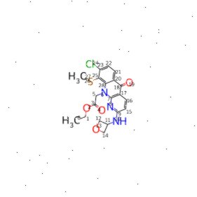 CCOC(=O)Cn1c2nc(NC3COC3)ccc2c(=O)c2ccc(Cl)c(SC)c21